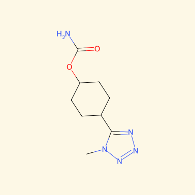 Cn1nnnc1C1CCC(OC(N)=O)CC1